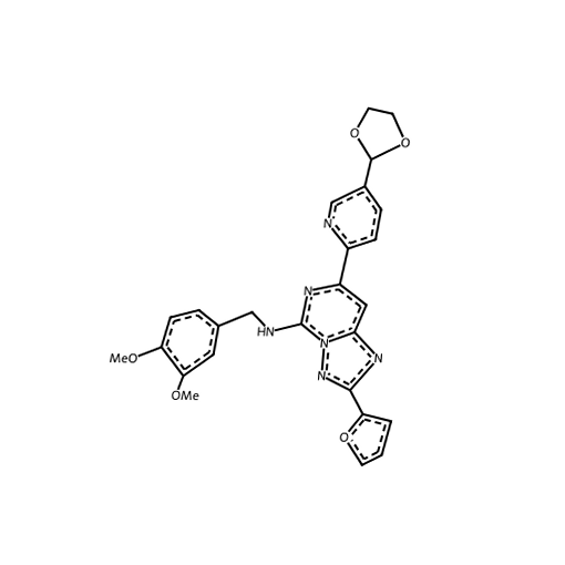 COc1ccc(CNc2nc(-c3ccc(C4OCCO4)cn3)cc3nc(-c4ccco4)nn23)cc1OC